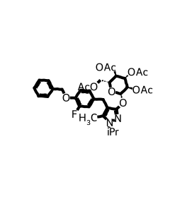 CC(=O)OC[C@H]1O[C@@H](Oc2nn(C(C)C)c(C)c2Cc2ccc(OCc3ccccc3)c(F)c2)[C@H](OC(C)=O)[C@@H](OC(C)=O)[C@@H]1OC(C)=O